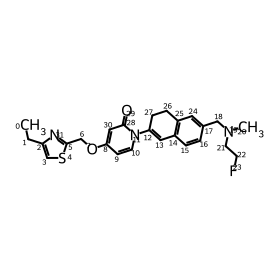 CCc1csc(COc2ccn(C3=Cc4ccc(CN(C)CCF)cc4CC3)c(=O)c2)n1